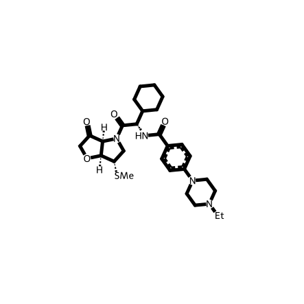 CCN1CCN(c2ccc(C(=O)N[C@H](C(=O)N3C[C@H](SC)[C@H]4OCC(=O)[C@H]43)C3CCCCC3)cc2)CC1